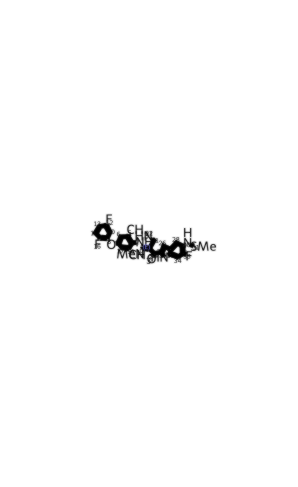 CN/C(Nc1c(C)cc(Oc2cc(F)ccc2F)cc1C)=C(/C=N)C(=O)c1cc2cc(NSC)c(F)cc2[nH]1